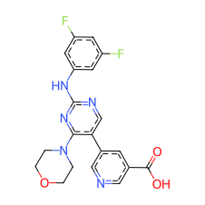 O=C(O)c1cncc(-c2cnc(Nc3cc(F)cc(F)c3)nc2N2CCOCC2)c1